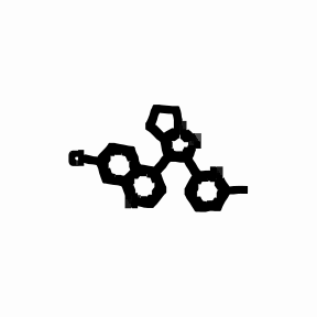 Cc1cccc(-c2nn3c(c2-c2ccnc4cc(Cl)ccc24)CCC3)n1